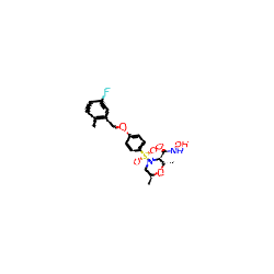 Cc1ccc(F)cc1COc1ccc(S(=O)(=O)N2C[C@H](C)O[C@@H](C)[C@@H]2C(=O)NO)cc1